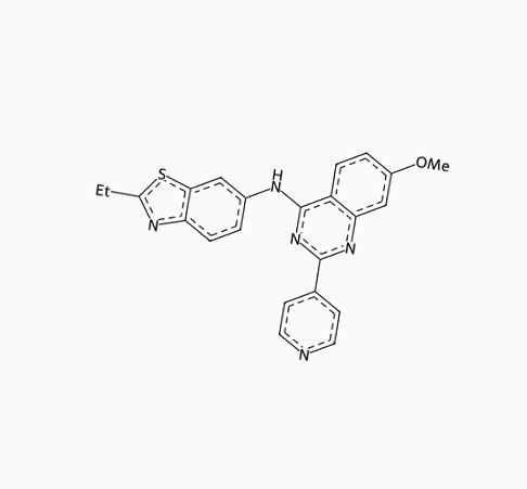 CCc1nc2ccc(Nc3nc(-c4ccncc4)nc4cc(OC)ccc34)cc2s1